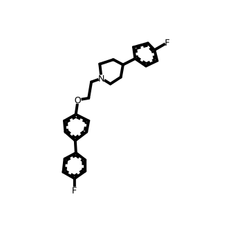 Fc1ccc(-c2ccc(OCCN3CCC(c4ccc(F)cc4)CC3)cc2)cc1